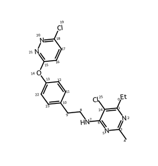 CCc1nc(C)nc(NCCc2ccc(Oc3ccc(Cl)nn3)cc2)c1Cl